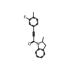 Cc1ccc(C#CC(=O)N2c3ccccc3CC2C)cc1F